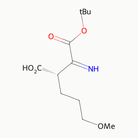 COCCC[C@@H](C(=N)C(=O)OC(C)(C)C)C(=O)O